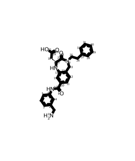 NCc1cccc(NC(=O)c2ccc3c(c2)N[C@H](CC(=O)O)C(=O)N(CCc2ccccc2)C3)c1